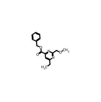 CCc1cc(C(=O)OCc2ccccc2)nc(COC)n1